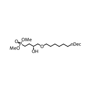 CCCCCCCCCCCCCCCCOC[C@@H](O)CCP(=O)(OC)OC